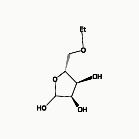 CCOC[C@H]1OC(O)[C@H](O)[C@@H]1O